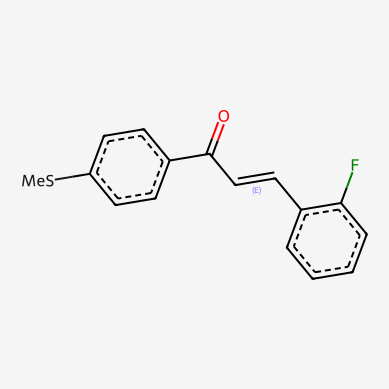 CSc1ccc(C(=O)/C=C/c2ccccc2F)cc1